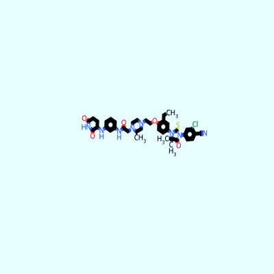 CCc1cc(N2C(=S)N(c3ccc(C#N)c(Cl)c3)C(=O)C2(C)C)ccc1OCCN1CCN(CC(=O)Nc2cccc(NC3CCC(=O)NC3=O)c2)[C@H](C)C1